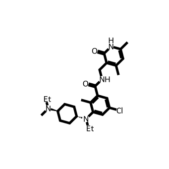 CCN(C)[C@H]1CC[C@H](N(CC)c2cc(Cl)cc(C(=O)NCc3c(C)cc(C)[nH]c3=O)c2C)CC1